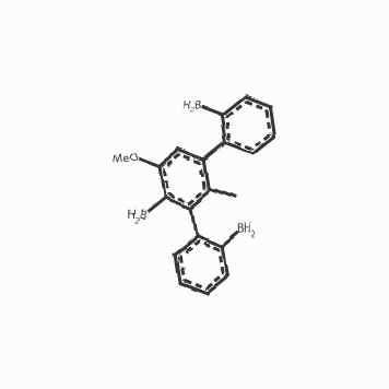 Bc1ccccc1-c1cc(OC)c(B)c(-c2ccccc2B)c1C